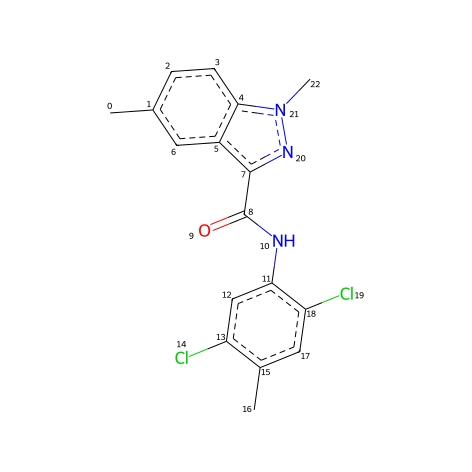 Cc1ccc2c(c1)c(C(=O)Nc1cc(Cl)c(C)cc1Cl)nn2C